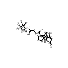 O=C(CCC(=O)OC(O)C(F)(F)S(=O)(=O)O)OC1C2OC(=O)C3C2SC1C3C1(O)CCCC1